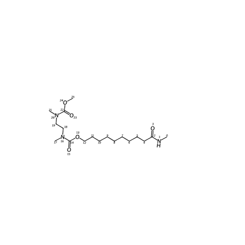 CNC(=O)CCCCCCCCCOC(=O)N(C)CCN(C)C(=O)OC